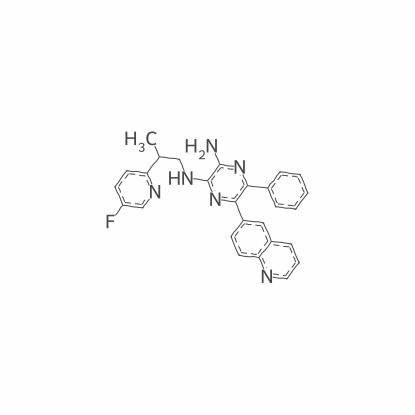 CC(CNc1nc(-c2ccc3ncccc3c2)c(-c2ccccc2)nc1N)c1ccc(F)cn1